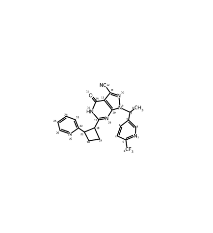 CC(c1ccc(C(F)(F)F)nc1)n1nc(C#N)c2c(=O)[nH]c(C3CCC3c3ccccn3)nc21